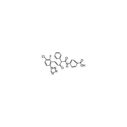 O=C(O)c1ccc(NC(=O)C(C(=O)C=Cc2c(-n3cnnn3)ccc(Cl)c2F)c2ccccc2)cc1